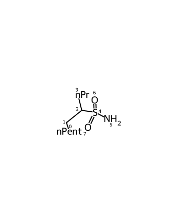 CCCCCCC(CCC)S(N)(=O)=O